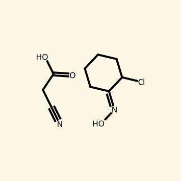 N#CCC(=O)O.ON=C1CCCCC1Cl